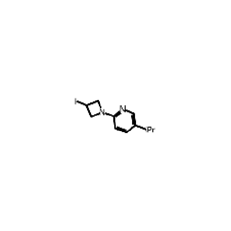 CC(C)c1ccc(N2CC(I)C2)nc1